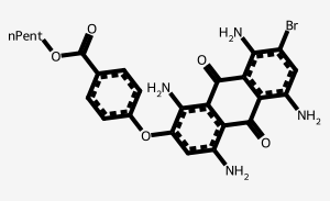 CCCCCOC(=O)c1ccc(Oc2cc(N)c3c(c2N)C(=O)c2c(N)c(Br)cc(N)c2C3=O)cc1